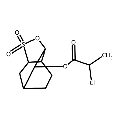 CC(Cl)C(=O)OC1C2CCC3C1OS(=O)(=O)C3C2